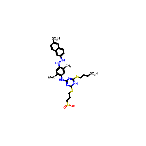 COc1cc(NNc2ccc3cc(S(=O)(=O)O)ccc3c2)c(C)cc1NC1=NC(SCCCS(=O)O)NC(SCCCS(=O)(=O)O)=N1